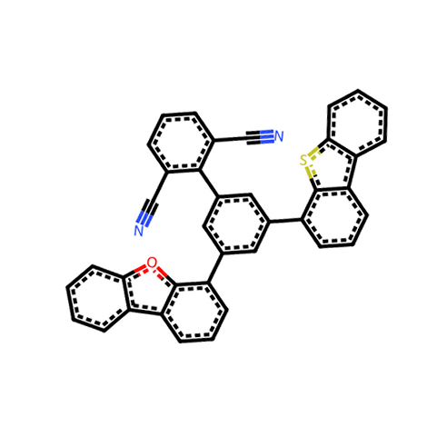 N#Cc1cccc(C#N)c1-c1cc(-c2cccc3c2oc2ccccc23)cc(-c2cccc3c2sc2ccccc23)c1